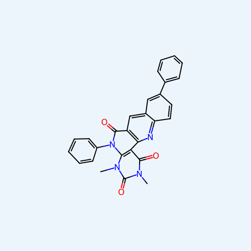 Cn1c(=O)c2c3nc4ccc(-c5ccccc5)cc4cc3c(=O)n(-c3ccccc3)c2n(C)c1=O